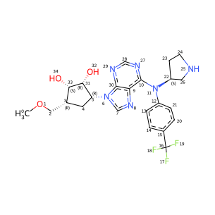 COC[C@H]1C[C@@H](n2cnc3c(N(c4ccc(C(F)(F)F)cc4)[C@H]4CCNC4)ncnc32)[C@@H](O)[C@H]1O